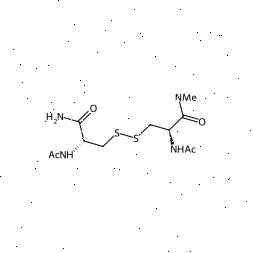 CNC(=O)[C@H](CSSC[C@H](NC(C)=O)C(N)=O)NC(C)=O